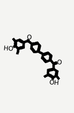 Cc1cc(C(=O)c2ccc(-c3ccc(C(=O)c4cc(C)c(O)c(C)c4)cc3)cc2)cc(C)c1O